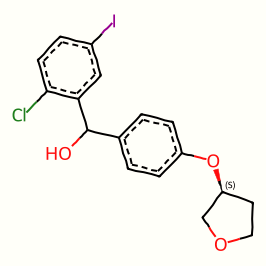 OC(c1ccc(O[C@H]2CCOC2)cc1)c1cc(I)ccc1Cl